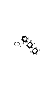 O=C(O)c1cccnc1N1CCC(N2CCCCC2)CC1